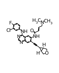 CN(C)C/C=C/C(=O)Nc1cc2c(Nc3ccc(F)c(Cl)c3)ncnc2cc1C#CC1[C@H]2COC[C@@H]12